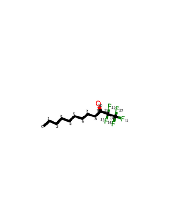 CCCCCCCCCC(=O)C(F)(F)C(F)(F)F